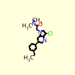 CCc1cccc(-c2cnc3c(Cl)cn(CC(=O)N(C)C)c3c2)c1